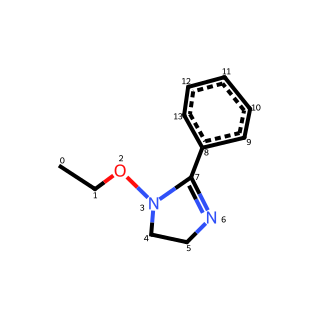 CCON1CCN=C1c1ccccc1